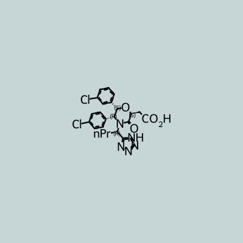 CCC[C@H](c1nnn[nH]1)N1C(=O)[C@H](CC(=O)O)O[C@@H](c2cccc(Cl)c2)[C@H]1c1ccc(Cl)cc1